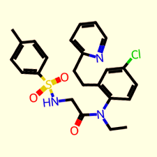 CCN(C(=O)CNS(=O)(=O)c1ccc(C)cc1)c1ccc(Cl)cc1CCc1ccccn1